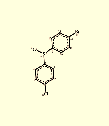 [O-][S+](c1ccc(Cl)cc1)c1ccc(Br)cc1